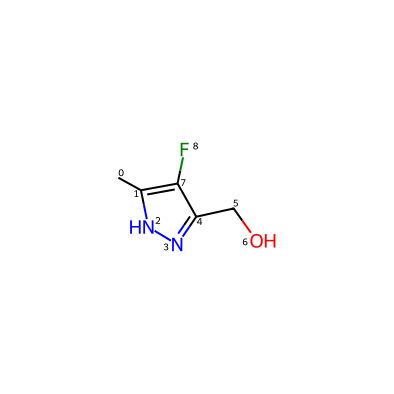 Cc1[nH]nc(CO)c1F